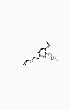 COc1nc(CCOC=O)ccc1C1CC1